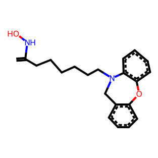 C=C(CCCCCCN1Cc2ccccc2Oc2ccccc21)NO